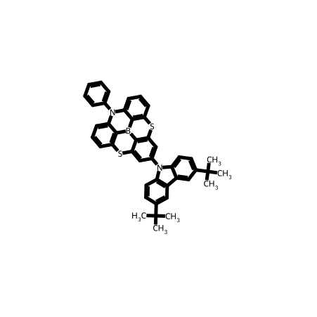 CC(C)(C)c1ccc2c(c1)c1cc(C(C)(C)C)ccc1n2-c1cc2c3c(c1)Sc1cccc4c1B3c1c(cccc1N4c1ccccc1)S2